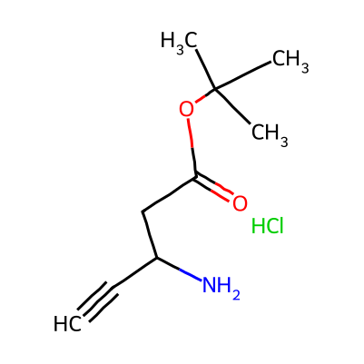 C#CC(N)CC(=O)OC(C)(C)C.Cl